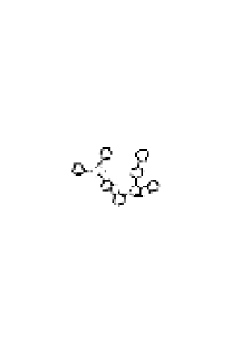 C1=c2sc3ccccc3c2=C(c2ccc3c(c2)oc2ccccc23)CC1c1cccc2c1sc1cc(-c3nc(-c4ccccc4)nc(-c4ccccc4)n3)ccc12